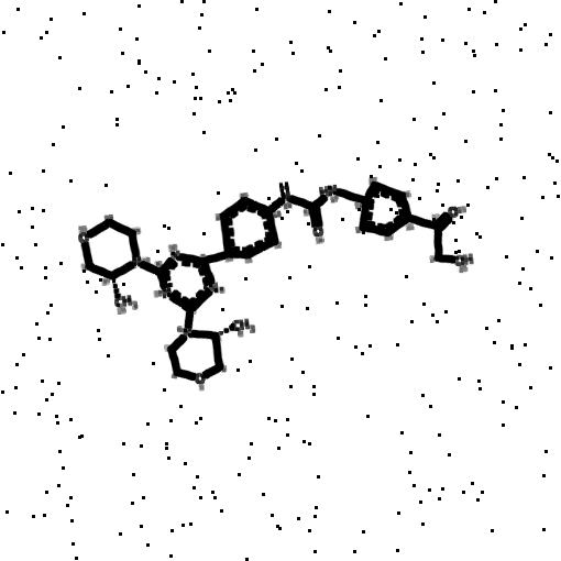 C[C@@H]1COCCN1c1nc(-c2ccc(NC(=O)Nc3ccc(C(=O)CO)cc3)cc2)nc(N2CCOC[C@H]2C)n1